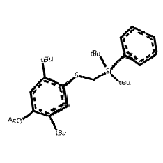 CC(=O)Oc1cc(C(C)(C)C)c(SC[Si](c2ccccc2)(C(C)(C)C)C(C)(C)C)cc1C(C)(C)C